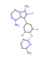 Cc1ccnc(Oc2c(F)cc(-c3c(I)n(C)c4ncnc(N)c34)cc2Cl)n1